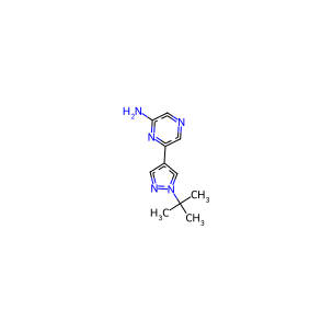 CC(C)(C)n1cc(-c2cncc(N)n2)cn1